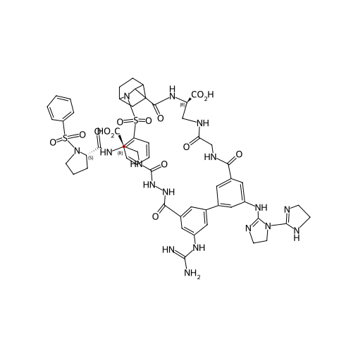 N=C(N)Nc1cc(C(=O)NNC(=O)NC[C@@H](NC(=O)[C@@H]2CCCN2S(=O)(=O)c2ccccc2)C(=O)O)cc(-c2cc(NC3=NCCN3C3=NCCN3)cc(C(=O)NCC(=O)NC[C@@H](NC(=O)C3C4CCC(CC4)N3S(=O)(=O)c3ccccc3)C(=O)O)c2)c1